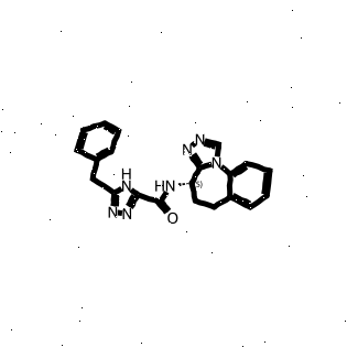 O=C(N[C@H]1CCc2ccccc2-n2cnnc21)c1nnc(Cc2ccccc2)[nH]1